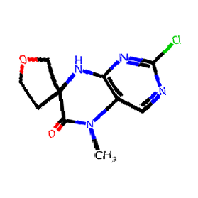 CN1C(=O)C2(CCOC2)Nc2nc(Cl)ncc21